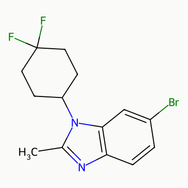 Cc1nc2ccc(Br)cc2n1C1CCC(F)(F)CC1